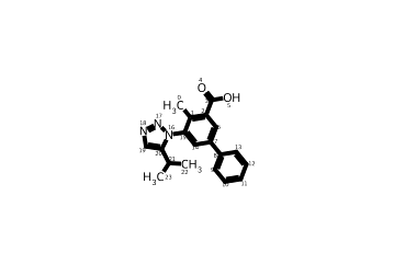 Cc1c(C(=O)O)cc(-c2ccccc2)cc1-n1nncc1C(C)C